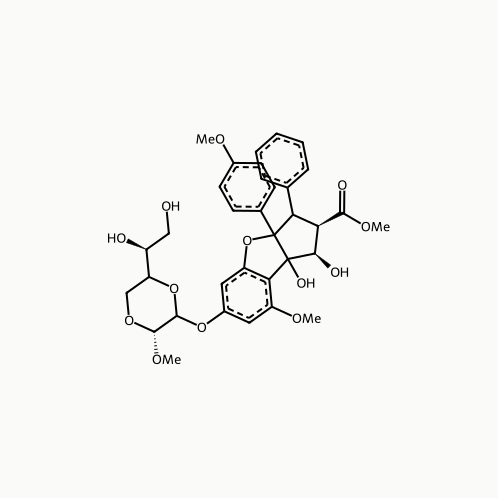 COC(=O)[C@@H]1C(c2ccccc2)C2(c3ccc(OC)cc3)Oc3cc(OC4OC([C@@H](O)CO)CO[C@H]4OC)cc(OC)c3C2(O)[C@@H]1O